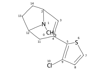 CN1C2C=C(c3sccc3Cl)CC1CC2